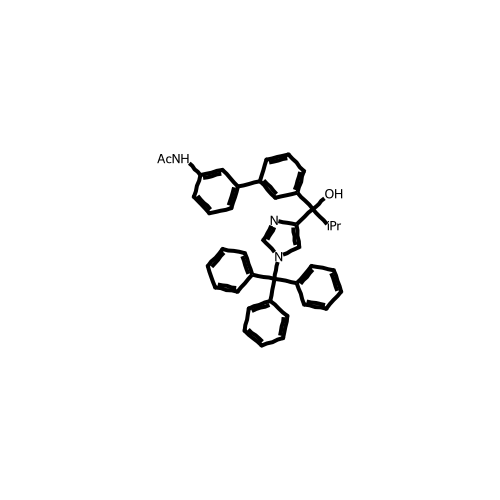 CC(=O)Nc1cccc(-c2cccc(C(O)(c3cn(C(c4ccccc4)(c4ccccc4)c4ccccc4)cn3)C(C)C)c2)c1